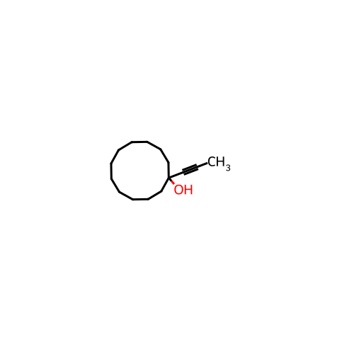 CC#CC1(O)CCCCCCCCCCC1